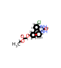 CCOC(=O)COc1cccc(-c2ccc(Cl)c3c2C2(CCCCC2)NC(=O)N3)c1